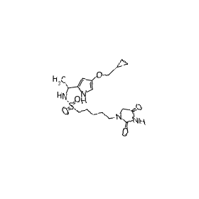 CC(NS(=O)(=O)CCCCCN1CC(=O)NC1=O)c1cc(OCC2CC2)c[nH]1